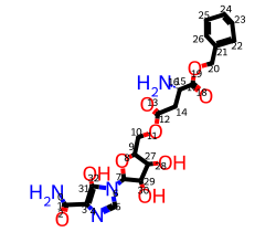 NC(=O)c1ncn(C2OC(COC(=O)C[C@H](N)C(=O)OCc3ccccc3)C(O)C2O)c1O